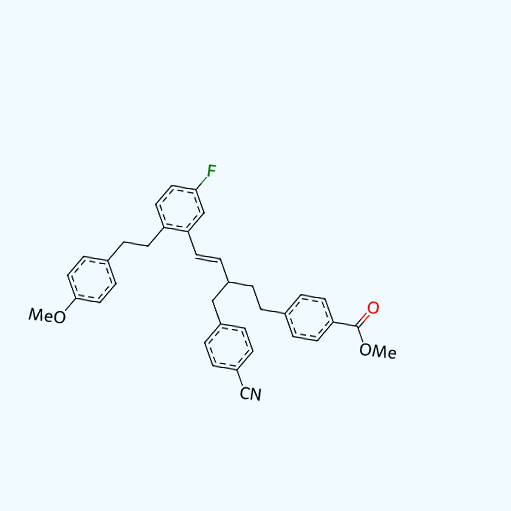 COC(=O)c1ccc(CCC(C=Cc2cc(F)ccc2CCc2ccc(OC)cc2)Cc2ccc(C#N)cc2)cc1